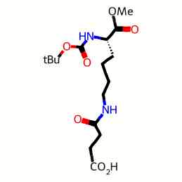 COC(=O)[C@H](CCCCNC(=O)CCC(=O)O)NC(=O)OC(C)(C)C